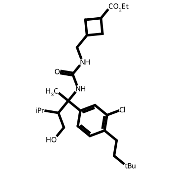 CCOC(=O)C1CC(CNC(=O)NC(C)(c2ccc(CCC(C)(C)C)c(Cl)c2)C(CO)C(C)C)C1